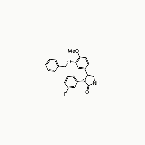 COc1ccc(C2CNC(=O)N2c2cccc(F)c2)cc1OCc1ccccc1